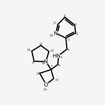 c1ccc(CNCC2(N3CCCC3)COC2)nc1